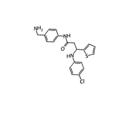 NCc1ccc(NC(=O)CC(Nc2ccc(Cl)cc2)c2cccs2)cc1